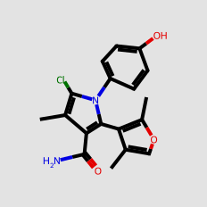 Cc1coc(C)c1-c1c(C(N)=O)c(C)c(Cl)n1-c1ccc(O)cc1